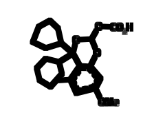 COc1cc(C)c2c(c1)OC(OC(=O)O)OC2(C1CCCCC1)C1CCCCC1